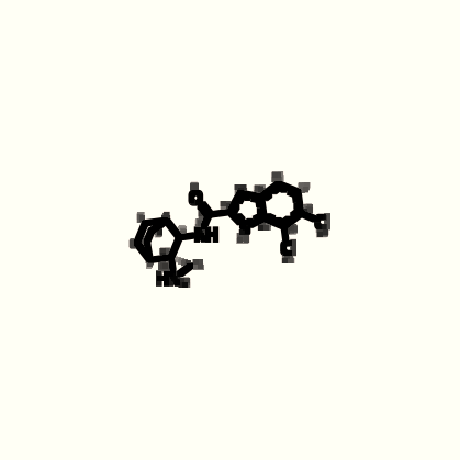 O=C(NC1C2CCC(CC2)[C@@]12CN2)c1cc2ccc(Cl)c(Cl)c2s1